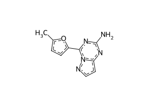 Cc1ccc(-c2nc(N)nc3ccnn23)o1